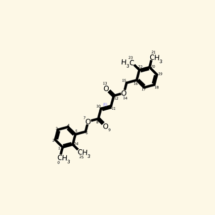 Cc1cccc(COC(=O)/C=C/C(=O)OCc2cccc(C)c2C)c1C